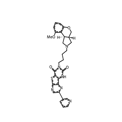 COc1cccc2c1[C@@H]1CN(CCCCn3c(=O)[nH]c4c(sc5ncc(-c6cccnc6)nc54)c3=O)C[C@H]1CO2